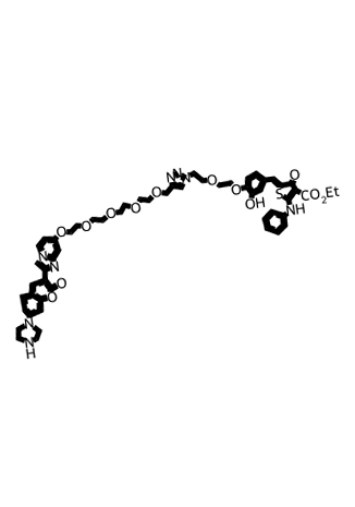 CCOC(=O)C1=C(Nc2ccccc2)S/C(=C\c2ccc(OCCOCCn3cc(COCCOCCOCCOCCOc4ccn5cc(-c6cc7ccc(N8CCNCC8)cc7oc6=O)nc5c4)nn3)c(O)c2)C1=O